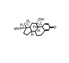 CS[C@]1(C)CC[C@H]2[C@@H]3CCC4=CC(=O)C=C[C@]4(C)C3(F)[C@@H](OC(C)=O)C[C@@]21C